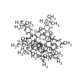 CCC(C)(C)c1cc2c3c(c1)Oc1cc4c(cc1B3c1cc3c(cc1O2)N(c1ccc(C(C)(C)C)cc1)c1cc(C(C)(C)CC)cc2c1B3c1sc3ccc(C(C)(C)CC)cc3c1O2)B1c2sc3ccc(C(C)(C)CC)cc3c2Oc2cc(C(C)(C)CC)cc(c21)N4c1c(C)cc(C)cc1C